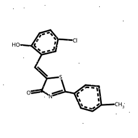 Cc1ccc(C2=NC(=O)C(=Cc3cc(Cl)ccc3O)S2)cc1